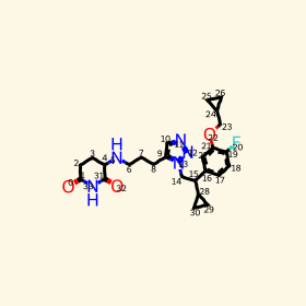 O=C1CCC(NCCCc2cnnn2CC(c2ccc(F)c(OCC3CC3)c2)C2CC2)C(=O)N1